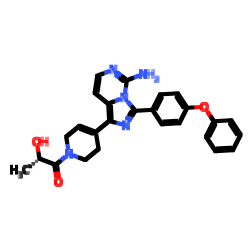 C[C@H](O)C(=O)N1CC=C(c2nc(-c3ccc(Oc4ccccc4)cc3)n3c(N)nccc23)CC1